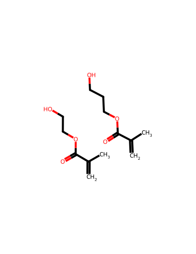 C=C(C)C(=O)OCCCO.C=C(C)C(=O)OCCO